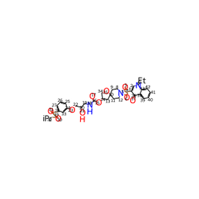 CCn1cc(S(=O)(=O)N2CCC3(CC2)C[C@@H](OC(=O)NCC(O)COc2cccc(S(=O)(=O)C(C)C)c2)CO3)c(=O)c2ccccc21